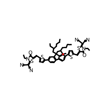 CCCCC(CC)CC1(CC(CC)CCCC)c2cc(-c3ccc(/C=c4\sc(=C(C#N)C#N)n(CC)c4=O)s3)ccc2-c2ccc(-c3ccc(/C=c4\sc(=C(C#N)C#N)n(CC)c4=O)s3)cc21